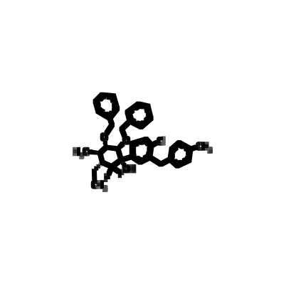 CC[C@@H]1[C@@H](C)[C@H](OCc2ccccc2)[C@@H](OCc2ccccc2)[C@@](O)(c2ccc(Cl)c(Cc3ccc(C)cc3)c2)C1(F)F